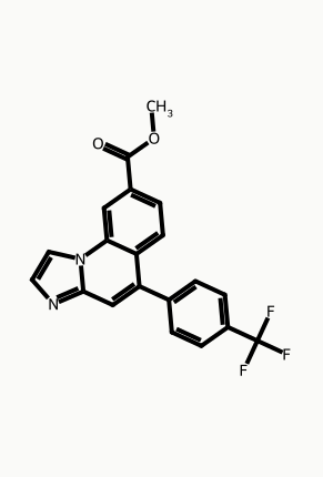 COC(=O)c1ccc2c(-c3ccc(C(F)(F)F)cc3)cc3nccn3c2c1